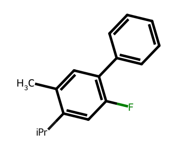 Cc1cc(-c2ccccc2)c(F)cc1C(C)C